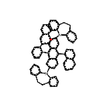 c1ccc2c(c1)CCc1ccccc1N2c1ccc2c(-c3cccc4ccccc34)c3cc(N4c5ccccc5CCc5ccccc54)ccc3c(-c3ccccc3-c3ccc4ccccc4c3)c2c1